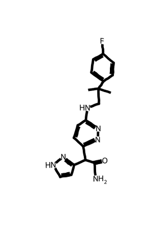 CC(C)(CNc1ccc(C(C(N)=O)c2cc[nH]n2)nn1)c1ccc(F)cc1